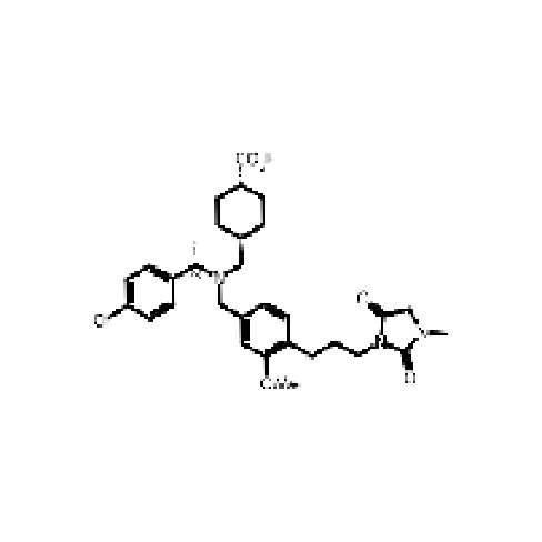 COc1cc(CN(C[C@H]2CC[C@H](C(=O)O)CC2)[C@@H](C)c2ccc(Cl)cc2)ccc1CCCN1C(=O)CN(C)C1=O